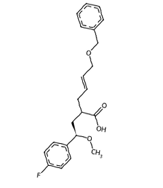 CO[C@H](CC(CC=CCOCc1ccccc1)C(=O)O)c1ccc(F)cc1